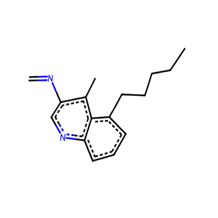 C=Nc1cnc2cccc(CCCCC)c2c1C